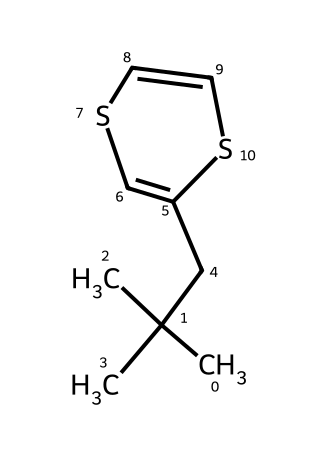 CC(C)(C)CC1=CSC=CS1